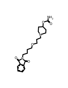 NC(=O)OC1CCN(CCCOCCCCN2C(=O)c3ccccc3C2=O)CC1